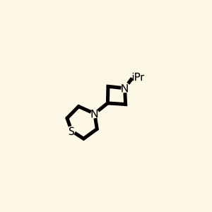 CC(C)N1CC(N2CCSCC2)C1